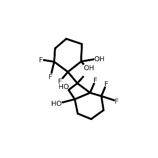 CC(C)(C1(F)C(O)(O)CCCC1(F)F)C1(F)C(O)(O)CCCC1(F)F